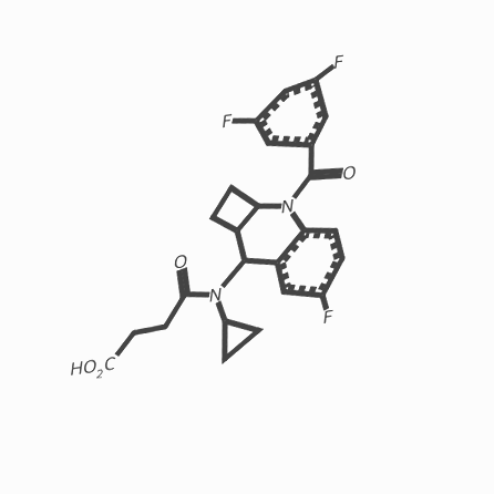 O=C(O)CCC(=O)N(C1CC1)C1c2cc(F)ccc2N(C(=O)c2cc(F)cc(F)c2)C2CCC21